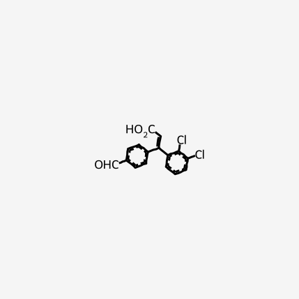 O=Cc1ccc(/C(=C\C(=O)O)c2cccc(Cl)c2Cl)cc1